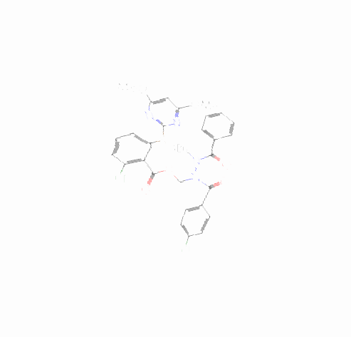 COc1cc(OC)nc(Sc2cccc(Cl)c2C(=O)OCN(C(=O)c2ccc(Cl)cc2)N(C(=O)c2ccccc2)C(C)(C)C)n1